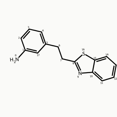 Nc1cccc(CCc2nc3ccccc3s2)c1